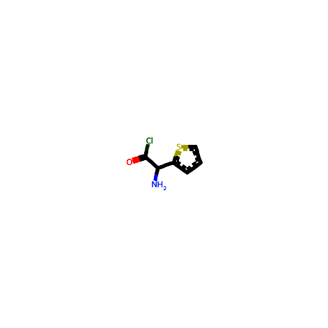 NC(C(=O)Cl)c1cccs1